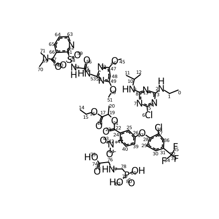 CCNc1nc(Cl)nc(NC(C)C)n1.CCOC(=O)C(C)OC(=O)c1cc(Oc2ccc(C(F)(F)F)cc2Cl)ccc1[N+](=O)[O-].COc1cc(OC)nc(NC(=O)NS(=O)(=O)c2ncccc2C(=O)N(C)C)n1.O=C(O)CNCP(=O)(O)O